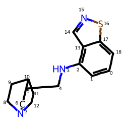 c1cc(NCC2CN3CCC2CC3)c2cnsc2c1